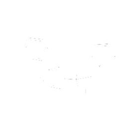 BC(C)(Cc1ccccc1)c1cc(-c2ccccc2)ncc1C